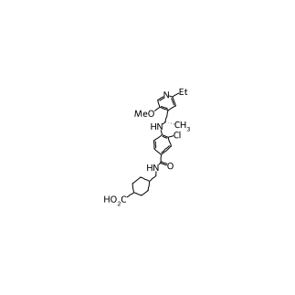 CCc1cc([C@H](C)Nc2ccc(C(=O)NCC3CCC(C(=O)O)CC3)cc2Cl)c(OC)cn1